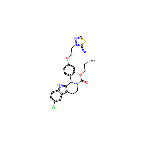 COCCOC(=O)N1CCc2c([nH]c3ccc(Cl)cc23)C1c1ccc(OCCn2ncsc2=N)cc1